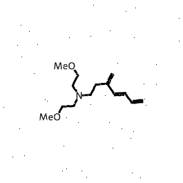 C=CC=CC(=C)CCN(CCOC)CCOC